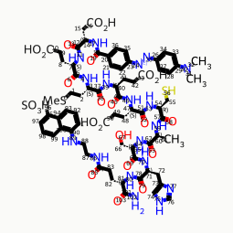 CSCC[C@H](NC(=O)[C@H](CCC(=O)O)NC(=O)[C@H](CC(=O)O)NC(=O)c1ccc(/N=N/c2ccc(N(C)C)cc2)cc1)C(=O)N[C@@H](CCC(=O)O)C(=O)N[C@@H](CCC(=O)O)C(=O)N[C@@H](CS)C(=O)N[C@@H](C)C(=O)N[C@@H](CO)C(=O)N[C@@H](Cc1c[nH]cn1)C(=O)N[C@@H](CCC(=O)NCCNc1cccc2c(S(=O)(=O)O)cccc12)C(N)=O